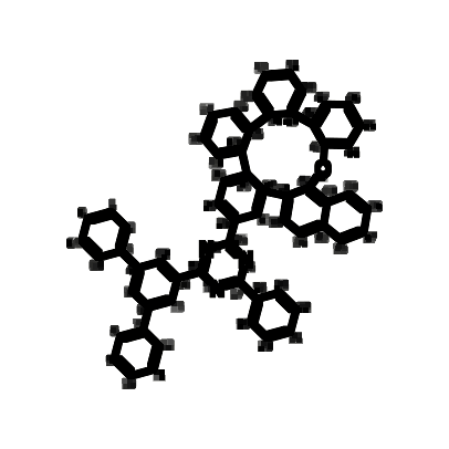 c1ccc(-c2cc(-c3ccccc3)cc(-c3nc(-c4ccccc4)nc(-c4ccc5c(c4)-c4ccc6ccccc6c4Oc4ccccc4-c4ccccc4-c4ccccc4-5)n3)c2)cc1